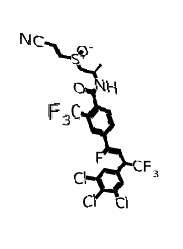 C[C@H](C[S+]([O-])CCC#N)NC(=O)c1ccc(/C(F)=C/C(c2cc(Cl)c(Cl)c(Cl)c2)C(F)(F)F)cc1C(F)(F)F